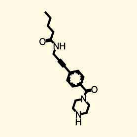 CCCCC(=O)NCC#Cc1ccc(C(=O)N2CCNCC2)cc1